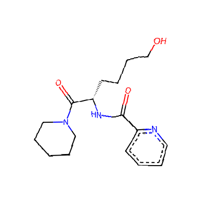 O=C(N[C@@H](CCCCO)C(=O)N1CCCCC1)c1ccccn1